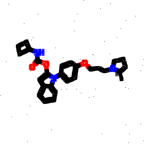 C[C@@H]1CCCN1CCCOc1ccc(-n2c(OC(=O)NC3CCC3)cc3ccccc32)cc1